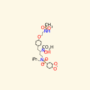 CC(C)CN(CCC(Cc1ccc(OCCNS(C)(=O)=O)cc1)N(O)C(=O)O)S(=O)(=O)c1ccc2c(c1)OCO2